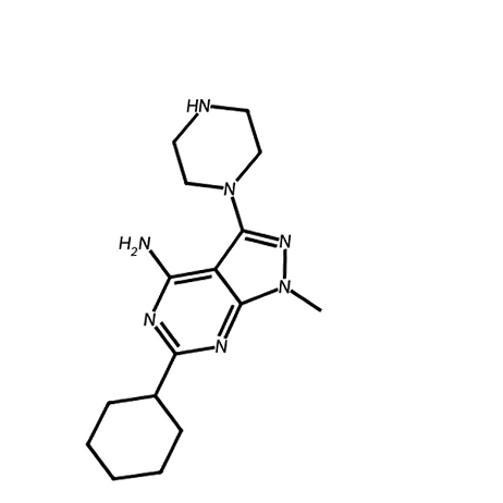 Cn1nc(N2CCNCC2)c2c(N)nc(C3CCCCC3)nc21